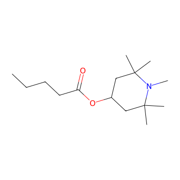 CCCCC(=O)OC1CC(C)(C)N(C)C(C)(C)C1